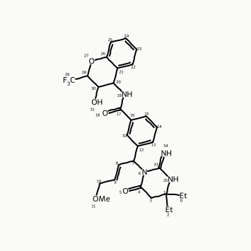 CCC1(CC)CC(=O)N(C(/C=C/COC)c2cccc(C(=O)NC3c4ccccc4OC(C(F)(F)F)C3O)c2)C(=N)N1